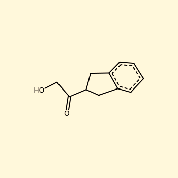 O=C(CO)C1Cc2ccccc2C1